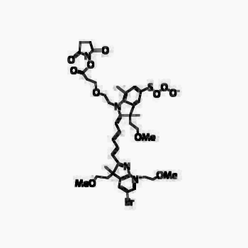 COCC[n+]1cc(Br)cc2c1N=C(/C=C/C=C/C=C1/N(CCOCCC(=O)ON3C(=O)CCC3=O)c3c(C)cc(SOO[O-])cc3C1(C)CCOC)C2(C)CCOC